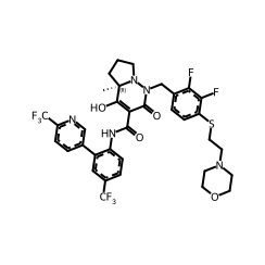 C[C@]12CCCN1N(Cc1ccc(SCCN3CCOCC3)c(F)c1F)C(=O)C(C(=O)Nc1ccc(C(F)(F)F)cc1-c1ccc(C(F)(F)F)nc1)=C2O